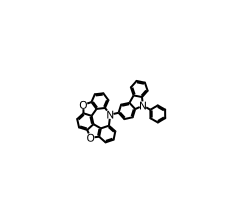 c1ccc(-n2c3ccccc3c3cc(-n4c5cccc6oc7ccc8oc9cccc4c9c8c7c65)ccc32)cc1